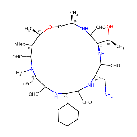 CCCCCC[C@@H]1C(C=O)N(C)[C@@H](CCC)C(C=O)N[C@@H](C2CCCCC2)C(C=O)N[C@@H](CN)C(C=O)N[C@H]([C@H](C)O)C(C=O)N[C@H](C)CO[C@@H]1C